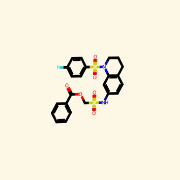 O=C(OCS(=O)(=O)Nc1ccc2c(c1)N(S(=O)(=O)c1ccc(F)cc1)CCC2)c1ccccc1